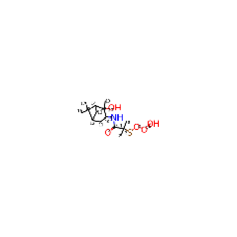 CC(C)(SOOO)C(=O)NC1CC2CC(C2(C)C)C1(C)O